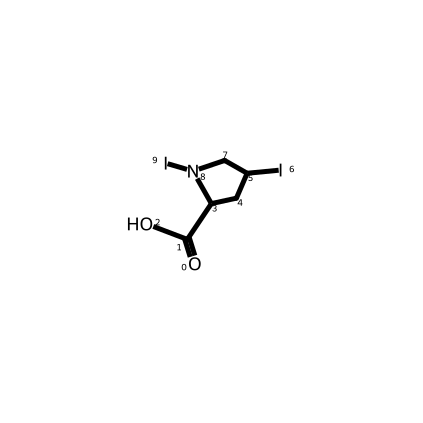 O=C(O)C1CC(I)CN1I